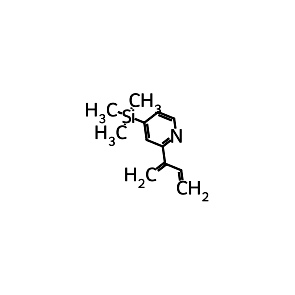 C=CC(=C)c1cc([Si](C)(C)C)ccn1